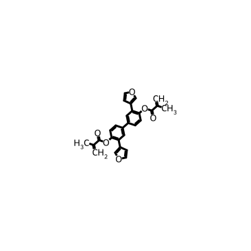 C=C(C)C(=O)Oc1ccc(-c2ccc(OC(=O)C(=C)C)c(-c3ccoc3)c2)cc1-c1ccoc1